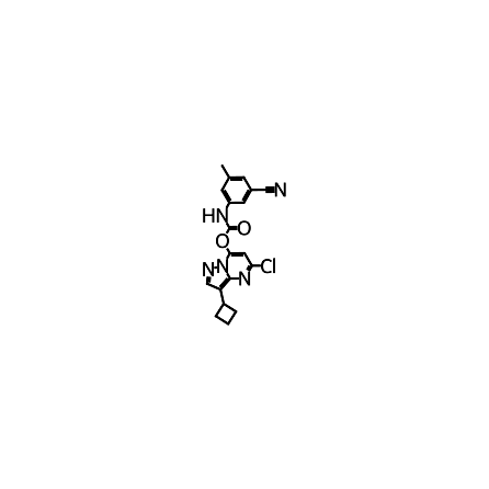 Cc1cc(C#N)cc(NC(=O)Oc2cc(Cl)nc3c(C4CCC4)cnn23)c1